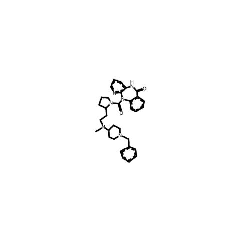 CN(CCC1CCCN1C(=O)N1c2ccccc2C(=O)Nc2cccnc21)C1CCN(Cc2ccccc2)CC1